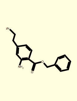 CC(C)CCc1ccc(C(=O)OCc2ccccc2)c(N)c1